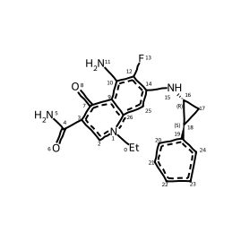 CCn1cc(C(N)=O)c(=O)c2c(N)c(F)c(N[C@@H]3C[C@H]3c3ccccc3)cc21